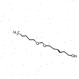 CCCCCOCOCC/C=C/CCO